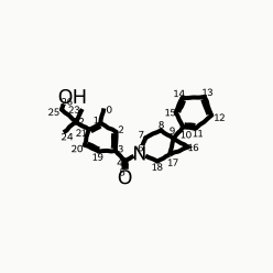 Cc1cc(C(=O)N2CCC3(c4ccccc4)CC3C2)ccc1C(C)(C)CO